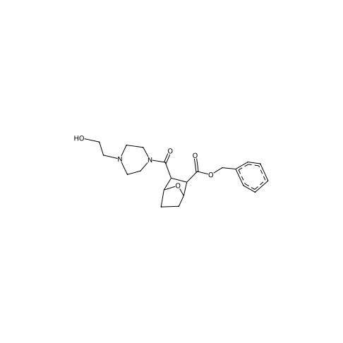 O=C(OCc1ccccc1)C1C2CCC(O2)C1C(=O)N1CCN(CCO)CC1